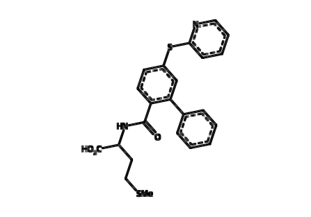 CSCCC(NC(=O)c1ccc(Sc2ccccn2)cc1-c1ccccc1)C(=O)O